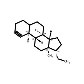 CC[C@H]1CC[C@H]2[C@@H]3CCC4CCC#C[C@@H]4[C@H]3CC[C@]12C